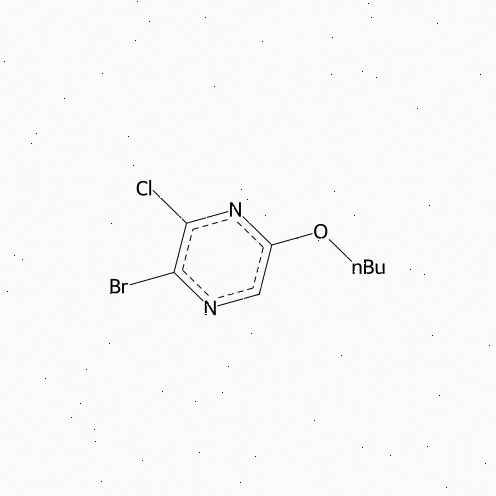 CCCCOc1cnc(Br)c(Cl)n1